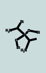 CCO[Si](OCC)(C(C)N)C(N)CC